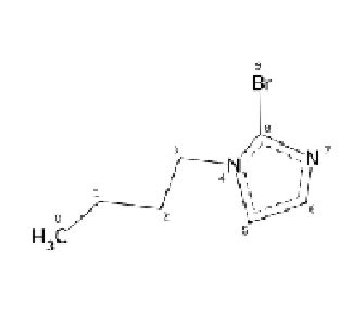 CCCCn1ccnc1Br